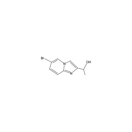 CC(O)c1cn2cc(Br)ccc2n1